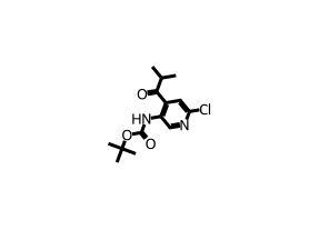 CC(C)C(=O)c1cc(Cl)ncc1NC(=O)OC(C)(C)C